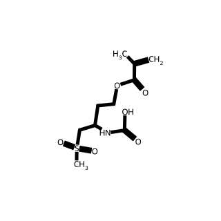 C=C(C)C(=O)OCCC(CS(C)(=O)=O)NC(=O)O